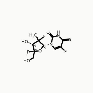 CC1(F)[C@@H](O)[C@@](F)(CO)O[C@H]1n1cc(F)c(=S)[nH]c1=O